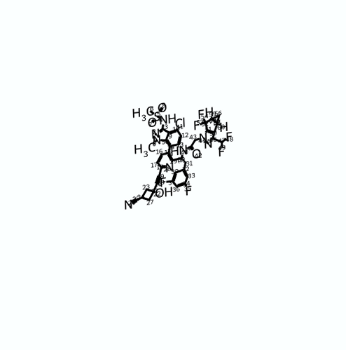 Cn1nc(NS(C)(=O)=O)c2c(Cl)ccc(-c3ccc(C#CC4(O)CC(C#N)C4)nc3[C@H](Cc3cc(F)cc(F)c3)NC(=O)Cn3nc(C(F)F)c4c3C(F)(F)[C@@H]3C[C@H]43)c21